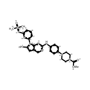 CCCc1cc2cnc(Nc3ccc(N4CCN(C(=O)OC)CC4)cc3)nc2n1-c1cccc(N=S(C)(C)=O)n1